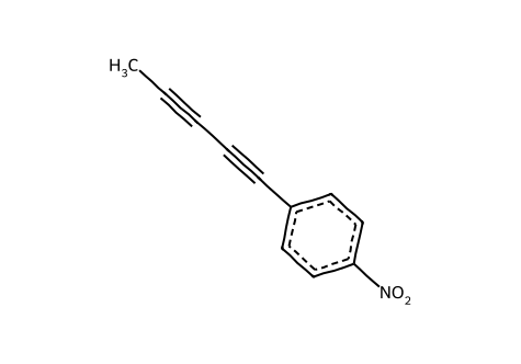 CC#CC#Cc1ccc([N+](=O)[O-])cc1